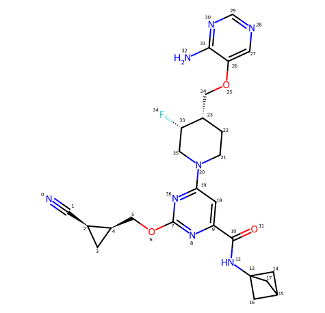 N#C[C@@H]1C[C@@H]1COc1nc(C(=O)NC23CC(C2)C3)cc(N2CC[C@@H](COc3cncnc3N)[C@@H](F)C2)n1